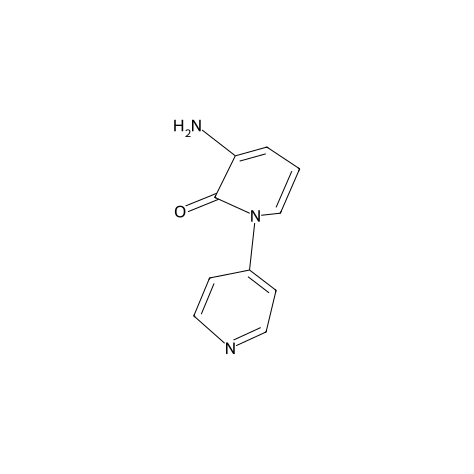 Nc1cccn(-c2ccncc2)c1=O